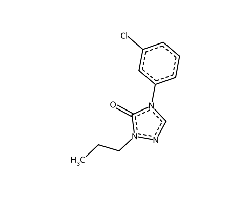 CCCn1ncn(-c2cccc(Cl)c2)c1=O